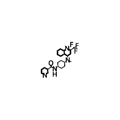 CN(c1cc(C(F)(F)F)nc2ccccc12)[C@H]1CC[C@@H](NC(=O)c2cccnc2)CC1